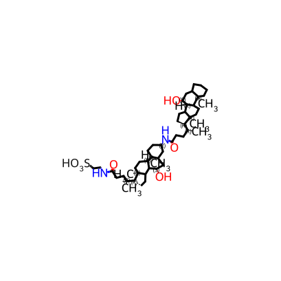 C[C@H](CCC(=O)NCCS(=O)(=O)O)[C@H]1CCC2C3[C@@H](O)CC4C[C@H](NC(=O)CC[C@@H](C)[C@H]5CCC6[C@H]7C(CC[C@@]65C)[C@@]5(C)CCCCC5C[C@@H]7O)CC[C@]4(C)[C@H]3CC[C@@]21C